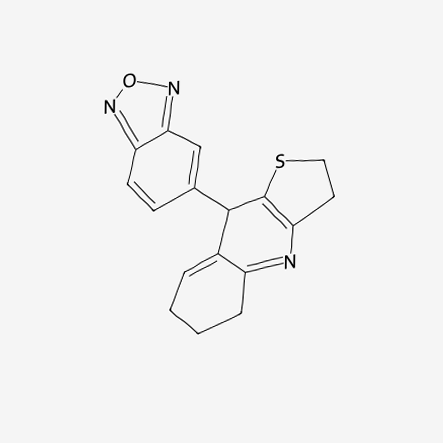 C1=C2C(=NC3=C(SCC3)C2c2ccc3nonc3c2)CCC1